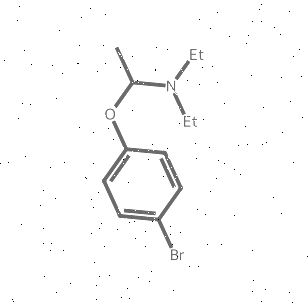 CCN(CC)C(C)Oc1ccc(Br)cc1